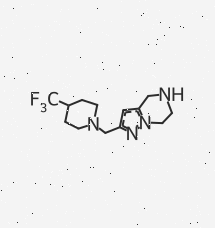 FC(F)(F)C1CCN(Cc2cc3n(n2)CCNC3)CC1